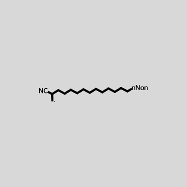 [CH2]C(C#N)CCCCCCCCCCCCCCCCCCCCC